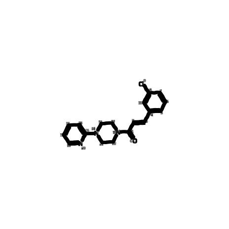 O=C(C=Cc1cccc(Cl)c1)N1CCN(c2ccccn2)CC1